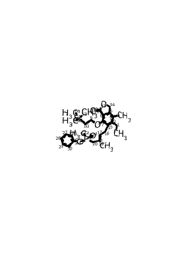 CCc1c(C)c2c(c(OCC[Si](C)(C)C)c1C/C=C(\C)CP(C)(=O)Oc1ccccc1)C(=O)OC2